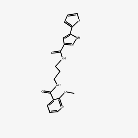 COc1ncccc1C(=O)NCCCNC(=O)c1cc(-c2cccs2)[nH]n1